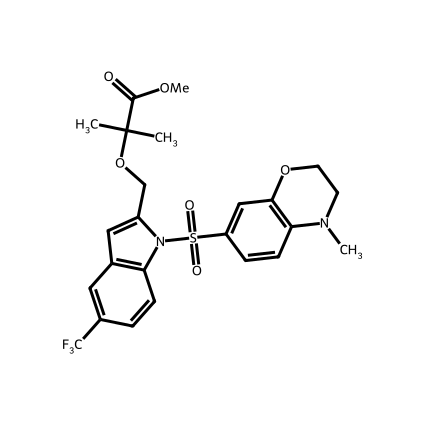 COC(=O)C(C)(C)OCc1cc2cc(C(F)(F)F)ccc2n1S(=O)(=O)c1ccc2c(c1)OCCN2C